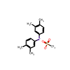 Cc1ccc([I+]c2ccc(C)c(C)c2)cc1C.O=S(=O)([O-])C(F)(F)F